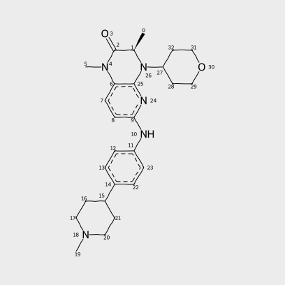 C[C@@H]1C(=O)N(C)c2ccc(Nc3ccc(C4CCN(C)CC4)cc3)nc2N1C1CCOCC1